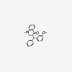 COc1cccc(C(c2ccccc2)C(CN(C)C)C(=O)c2ccccc2)c1